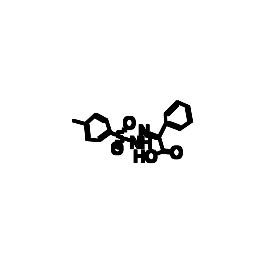 Cc1ccc(S(=O)(=O)NN=C(C(=O)O)c2ccccc2)cc1